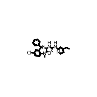 CCc1ccnc(NC(=S)NC2N=C(c3ccccc3)c3cc(Cl)ccc3N(C)C2=O)c1